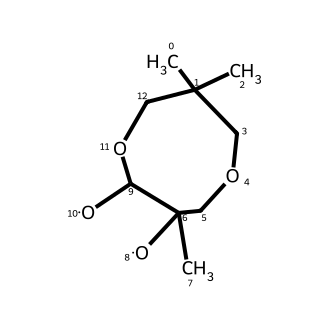 CC1(C)COCC(C)([O])C([O])OC1